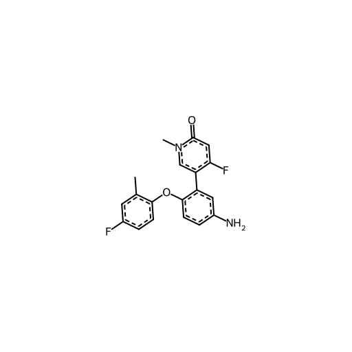 Cc1cc(F)ccc1Oc1ccc(N)cc1-c1cn(C)c(=O)cc1F